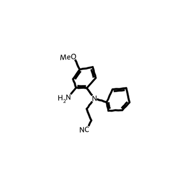 COc1ccc(N(CCC#N)c2ccccc2)c(N)c1